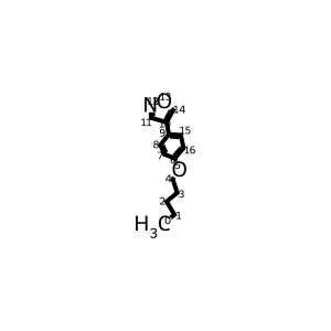 CCCCCOc1ccc(-c2cnoc2)cc1